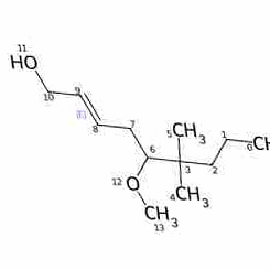 CCCC(C)(C)C(C/C=C/CO)OC